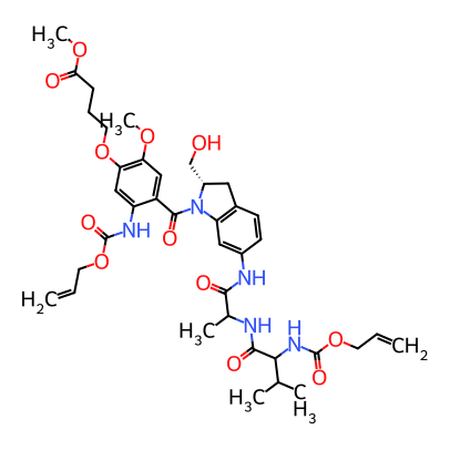 C=CCOC(=O)Nc1cc(OCCCC(=O)OC)c(OC)cc1C(=O)N1c2cc(NC(=O)C(C)NC(=O)C(NC(=O)OCC=C)C(C)C)ccc2C[C@H]1CO